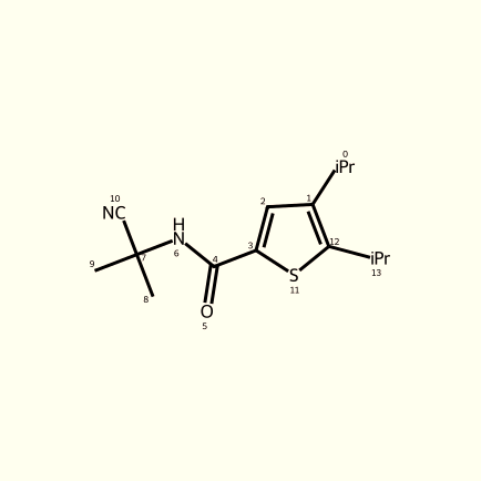 CC(C)c1cc(C(=O)NC(C)(C)C#N)sc1C(C)C